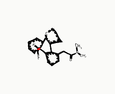 CN(C)C(=O)Cc1cccc(C(F)(F)F)c1-c1ccccc1-c1ccccc1